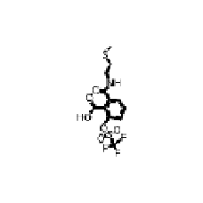 CSCCNC(=O)c1cccc(OS(=O)(=O)C(F)(F)F)c1C(=O)O